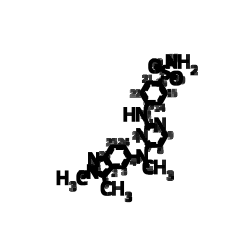 Cc1c2cc(N(C)c3ccnc(Nc4ccc(S(N)(=O)=O)cc4)n3)ccc2nn1C